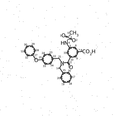 CS(=O)(=O)Nc1cc(C(=O)O)cc(C(=O)N(Cc2ccccc2)Cc2ccc(Oc3ccccc3)cc2)c1